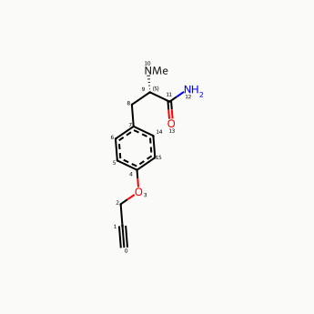 C#CCOc1ccc(C[C@H](NC)C(N)=O)cc1